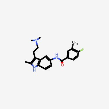 Cc1[nH]c2ccc(NC(=O)c3ccc(F)c(C(F)(F)F)c3)cc2c1CCN(C)C